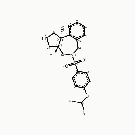 O=S(=O)(c1ccc(OC(F)F)cc1)N1Cc2cccnc2[C@@H]2CNC[C@H]2C1